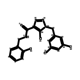 O=C(NCc1ccccc1Cl)c1nnn(Cc2cc(Cl)cc(Cl)c2)c1Cl